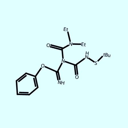 CCN(CC)C(=O)N(C(=N)Oc1ccccc1)C(=O)NSC(C)(C)C